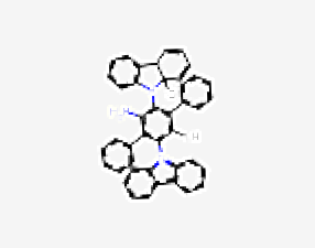 CC12C=CC=CC1c1ccccc1N2c1c(N)c(-c2ccccc2)c(-n2c3ccccc3c3ccccc32)c(C#N)c1-c1ccccc1